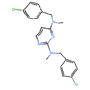 CN(Cc1ccc(Cl)cc1)c1ccnc(N(C)Cc2ccc(Cl)cc2)n1